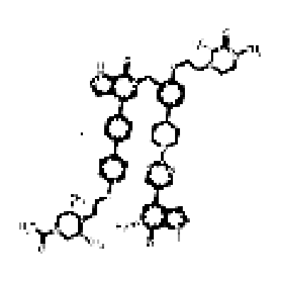 CC(=O)N1C[C@@H](C)N(CCOc2ccc(-c3ccc(-c4cn(Cc5cc(C6CCN(c7ncc(-c8cn(C)c(=O)c9[nH]ccc89)cn7)CC6)ccc5OCCN5CCN(C)C(=O)[C@H]5C)c(=O)c5[nH]ccc45)cc3)cc2)[C@@H](C)C1